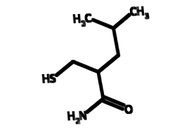 CC(C)CC(CS)C(N)=O